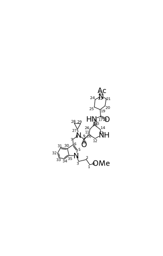 COCCCn1cc(CN(C(=O)[C@@H]2CNC[C@H](NC(=O)C3CCN(C(C)=O)CC3)C2)C2CC2)c2ccccc21